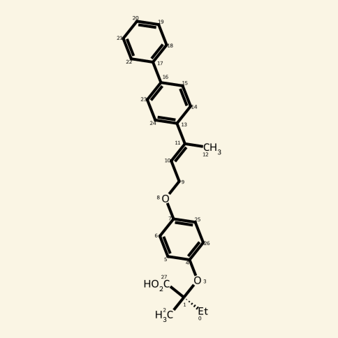 CC[C@@](C)(Oc1ccc(OC/C=C(\C)c2ccc(-c3ccccc3)cc2)cc1)C(=O)O